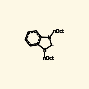 CCCCCCCCN1[CH]N(CCCCCCCC)c2ccccc21